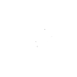 C#CC[C@@H](N)c1c(O)c(=O)c1=O